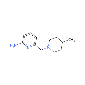 CC1CCN(Cc2cccc(N)n2)CC1